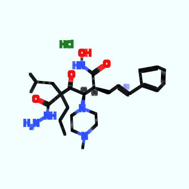 CCCC(CC(C)C)(C(=O)NN)C(=O)[C@@H]([C@H](C/C=C/c1ccccc1)C(=O)NO)N1CCN(C)CC1.Cl